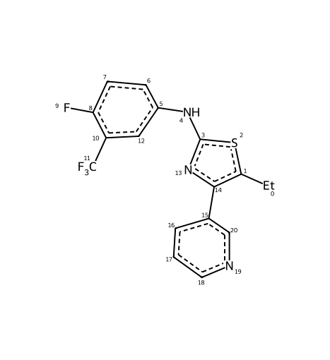 CCc1sc(Nc2ccc(F)c(C(F)(F)F)c2)nc1-c1cccnc1